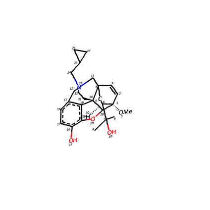 CO[C@@]12C=CC3(C[C@@H]1C(C)(C)O)C1Cc4ccc(O)c5c4[C@@]3(CCN1CC1CC1)C2O5